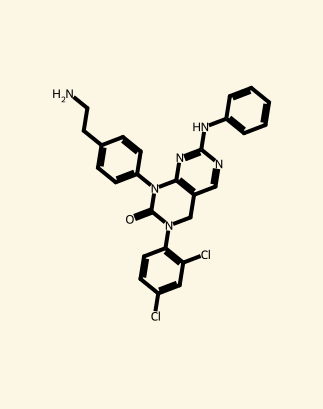 NCCc1ccc(N2C(=O)N(c3ccc(Cl)cc3Cl)Cc3cnc(Nc4ccccc4)nc32)cc1